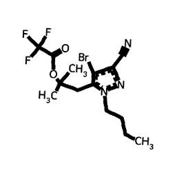 CCCCn1nc(C#N)c(Br)c1CC(C)(C)OC(=O)C(F)(F)F